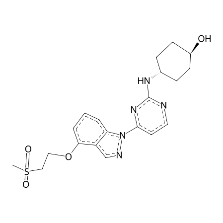 CS(=O)(=O)CCOc1cccc2c1cnn2-c1ccnc(N[C@H]2CC[C@H](O)CC2)n1